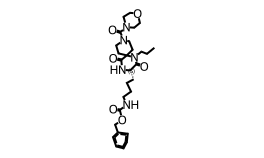 CCCN1C(=O)[C@H](CCCCNC(=O)OCc2ccccc2)NC(=O)C12CCN(C(=O)N1CCOCC1)CC2